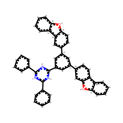 c1ccc(-c2nc(-c3ccccc3)nc(-c3cc(-c4ccc5c(c4)oc4ccccc45)cc(-c4ccc5oc6ccccc6c5c4)c3)n2)cc1